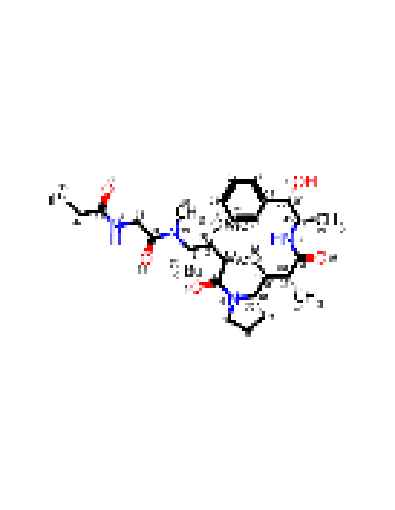 CC[C@H](C)C([C@@H](CC(=O)N1CCC[C@H]1[C@@H](OC)[C@@H](C)C(=O)N[C@H](C)[C@@H](O)c1ccccc1)OC)N(C)C(=O)CNC(=O)CC(C)C